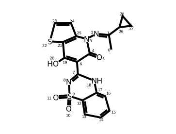 CC(=Nn1c(=O)c(C2=NS(=O)(=O)c3ccccc3N2)c(O)c2sccc21)C1CC1